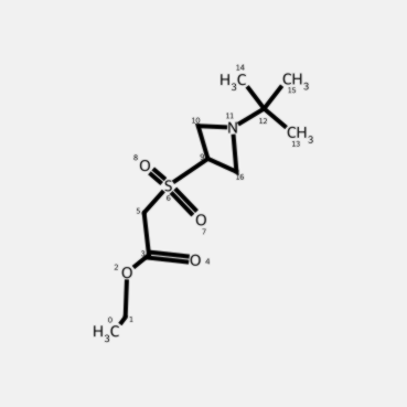 CCOC(=O)CS(=O)(=O)C1CN(C(C)(C)C)C1